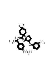 CC(NC(=O)C1(N2CC[C@@H](Oc3cccc(C(F)(F)F)c3)C2)CCC(F)(F)CC1)c1ccc(C(=O)O)cc1